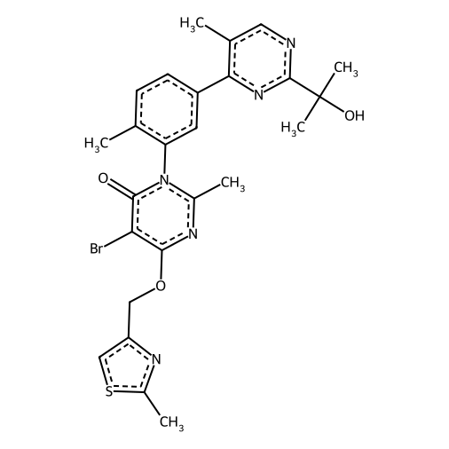 Cc1nc(COc2nc(C)n(-c3cc(-c4nc(C(C)(C)O)ncc4C)ccc3C)c(=O)c2Br)cs1